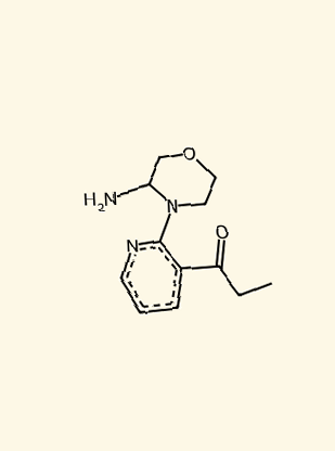 CCC(=O)c1cccnc1N1CCOCC1N